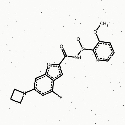 COc1cccnc1[S+]([O-])NC(=O)c1cc2c(F)cc(N3CCC3)cc2o1